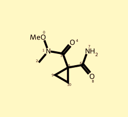 CON(C)C(=O)C1(C(N)=O)CC1